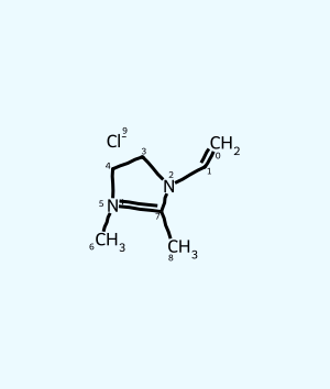 C=CN1CC[N+](C)=C1C.[Cl-]